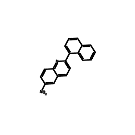 O=[N+]([O-])c1ccc2nc(-c3cccc4ccccc34)ccc2c1